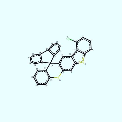 Clc1cccc2sc3cc4c(cc3c12)C1(c2ccccc2S4)c2ccccc2-c2ccccc21